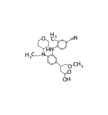 CCN(c1ccc(C(COC)CC(=O)O)cc1Nc1ccc(C#N)cc1C)C1CCOCC1